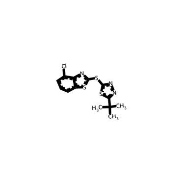 CC(C)(C)c1nnc(Sc2nc3c(Cl)cccc3s2)s1